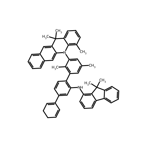 Cc1cc(-c2ccc(C3=CCCC=C3)cc2Nc2cccc3c2C(C)(C)c2ccccc2-3)c(C)c(N2c3cc4ccccc4cc3C(C)(C)c3cccc(C)c32)c1